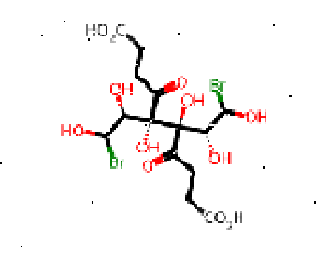 O=C(O)CCC(=O)[C@@](O)([C@@H](O)C(O)Br)[C@](O)(C(=O)CCC(=O)O)[C@H](O)C(O)Br